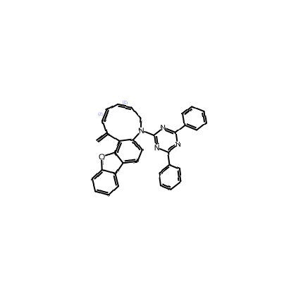 C=C1/C=C\C=C/CN(c2nc(-c3ccccc3)nc(-c3ccccc3)n2)c2ccc3c(oc4ccccc43)c21